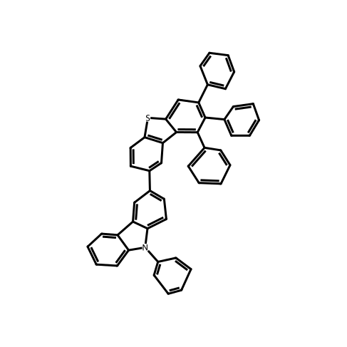 c1ccc(-c2cc3sc4ccc(-c5ccc6c(c5)c5ccccc5n6-c5ccccc5)cc4c3c(-c3ccccc3)c2-c2ccccc2)cc1